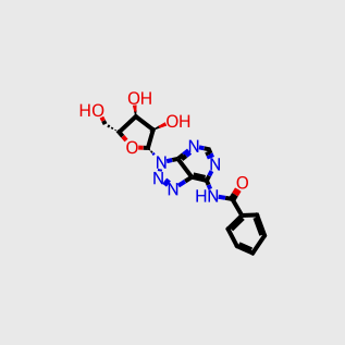 O=C(Nc1ncnc2c1nnn2[C@@H]1O[C@H](CO)[C@@H](O)[C@H]1O)c1ccccc1